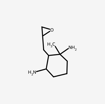 CC1(N)CCCC(N)C1CC1CO1